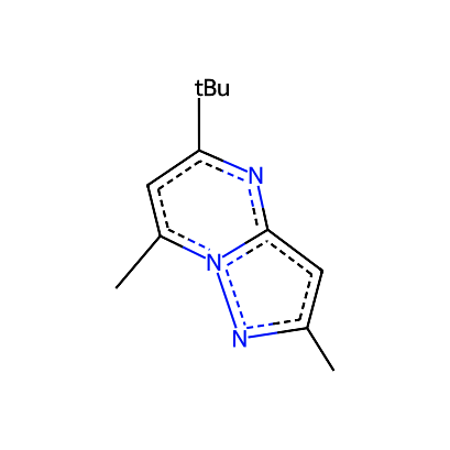 Cc1cc2nc(C(C)(C)C)cc(C)n2n1